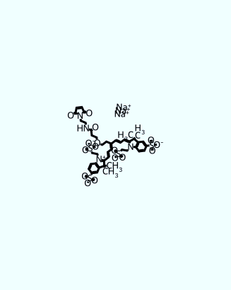 CC1(C)C(=CC=CC(=CC=CC2=[N+](CCS(=O)(=O)[O-])c3ccc(S(=O)(=O)[O-])cc3C2(C)C)CCOCCC(=O)NCCN2C(=O)C=CC2=O)N(CCS(=O)(=O)[O-])c2ccc(S(=O)(=O)[O-])cc21.[Na+].[Na+].[Na+]